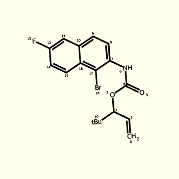 C=CC(OC(=O)Nc1ccc2cc(F)ccc2c1Br)C(C)(C)C